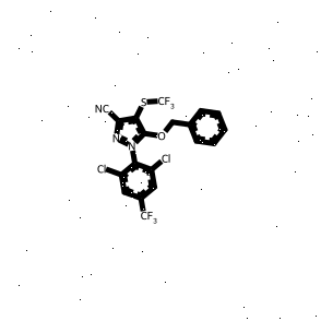 N#Cc1nn(-c2c(Cl)cc(C(F)(F)F)cc2Cl)c(OCc2ccccc2)c1SC(F)(F)F